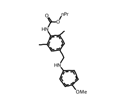 CCCOC(=O)Nc1c(C)cc(CNc2ccc(OC)cc2)cc1C